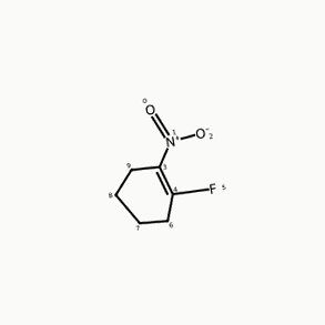 O=[N+]([O-])C1=C(F)CCCC1